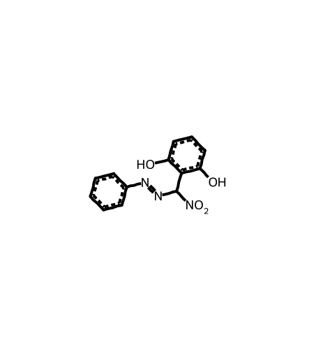 O=[N+]([O-])C(N=Nc1ccccc1)c1c(O)cccc1O